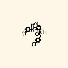 O=C(Cc1ccc(Cl)cc1)Nc1ccc2ncnc(Nc3cccc(Cl)c3)c2c1